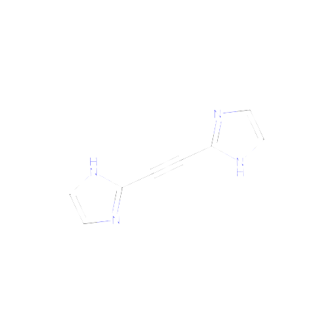 C(#Cc1ncc[nH]1)c1ncc[nH]1